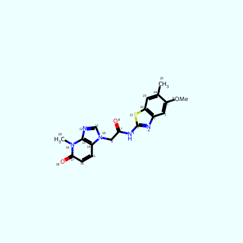 COc1cc2nc(NC(=O)Cn3cnc4c3ccc(=O)n4C)sc2cc1C